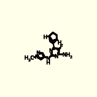 Cn1cc(Nc2nc(N)c(F)c([C@H]3C[C@@H]4CC[C@H]3C4)n2)cn1